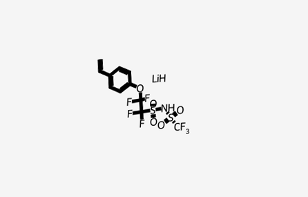 C=Cc1ccc(OC(F)(F)C(F)(F)S(=O)(=O)NS(=O)(=O)C(F)(F)F)cc1.[LiH]